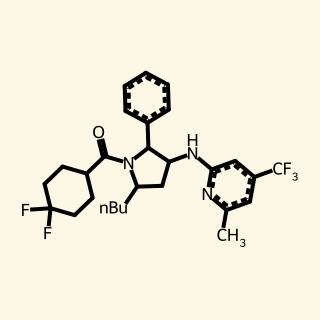 CCCCC1CC(Nc2cc(C(F)(F)F)cc(C)n2)C(c2ccccc2)N1C(=O)C1CCC(F)(F)CC1